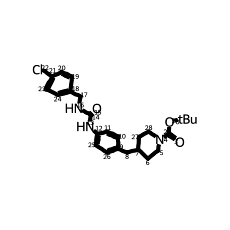 CC(C)(C)OC(=O)N1CCC(Cc2ccc(NC(=O)NCc3ccc(Cl)cc3)cc2)CC1